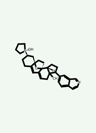 CC12CC=C3C=C4CC[C@@H]([N+]5(O)CCCC5)C[C@]45CC[C@]3(O5)[C@@H]1CCC2c1ccc2ccncc2c1